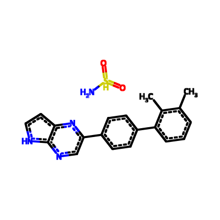 Cc1cccc(-c2ccc(-c3cnc4[nH]ccc4n3)cc2)c1C.N[SH](=O)=O